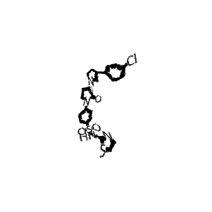 O=C1[C@@H](N2CCC(c3ccc(Cl)cc3)C2)CCN1c1ccc(S(=O)(=O)Nc2nccs2)cc1